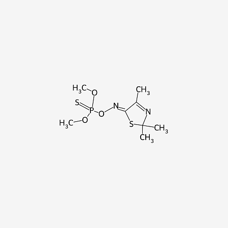 COP(=S)(OC)ON=C1SC(C)(C)N=C1C